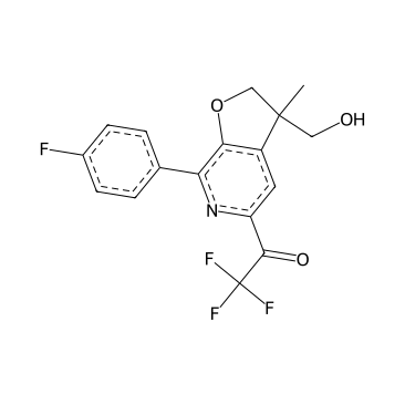 CC1(CO)COc2c1cc(C(=O)C(F)(F)F)nc2-c1ccc(F)cc1